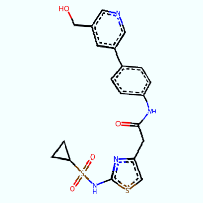 O=C(Cc1csc(NS(=O)(=O)C2CC2)n1)Nc1ccc(-c2cncc(CO)c2)cc1